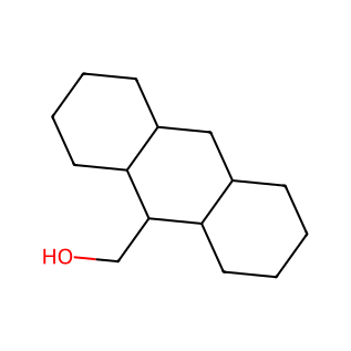 OCC1C2CCCCC2CC2CCCCC21